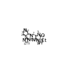 CCC1C(=O)N(C)c2cnc(-n3ccnc3-c3ccncc3)nc2N1C(C)C